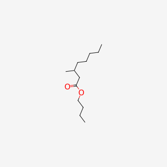 CCCCCC(C)CC(=O)OCCCC